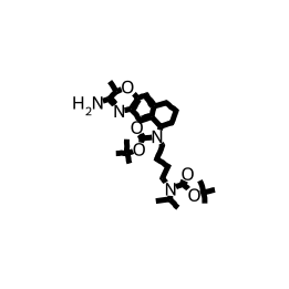 CC1Oc2cc3c(cc2N=C1N)C(N(CCCCN(C(=O)OC(C)(C)C)C(C)C)C(=O)OC(C)(C)C)CCC3